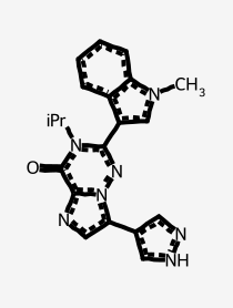 CC(C)n1c(-c2cn(C)c3ccccc23)nn2c(-c3cn[nH]c3)cnc2c1=O